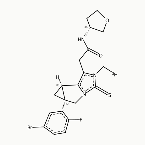 [2H]Cn1c(CC(=O)N[C@@H]2CCOC2)c2n(c1=S)C[C@@]1(c3cc(Br)ccc3F)C[C@@H]21